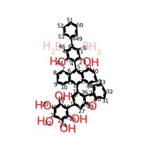 Bc1c(O)c(-c2c3ccccc3c(-c3cc(-c4c(O)c(O)c(O)c(O)c4O)cc4oc5ccccc5c34)c3ccccc23)c(O)c(B)c1-c1ccccc1